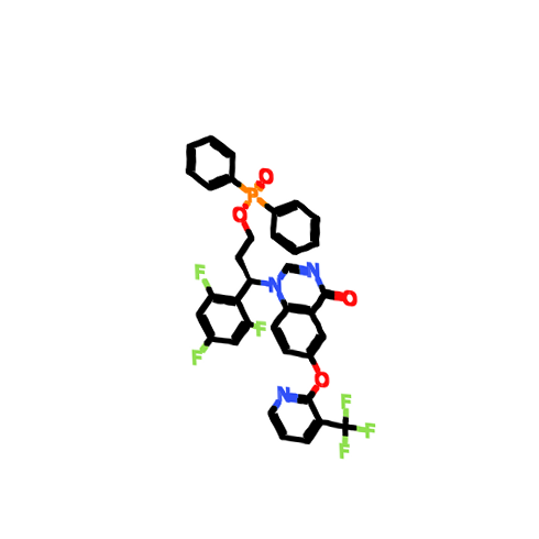 O=c1ncn([C@H](CCOP(=O)(c2ccccc2)c2ccccc2)c2c(F)cc(F)cc2F)c2ccc(Oc3ncccc3C(F)(F)F)cc12